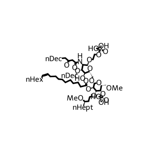 CCCCCC/C=C\CCCCCCCCCC(=O)O[C@H]1[C@H](OC[C@H]2O[C@H](OCCOP(=O)(O)O)[C@H](NC(=O)CC(=O)CCCCCCCCCCC)[C@@H](OCCCCCCCCCC)[C@@H]2O)O[C@H](COC)[C@@H](OP(=O)(O)O)[C@@H]1OCC[C@@H](CCCCCCC)OC